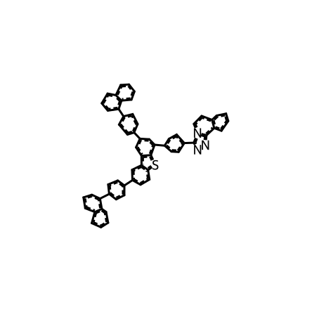 c1ccc2c(-c3ccc(-c4ccc5sc6c(-c7ccc(-c8nnc9c%10ccccc%10ccn89)cc7)cc(-c7ccc(-c8cccc9ccccc89)cc7)cc6c5c4)cc3)cccc2c1